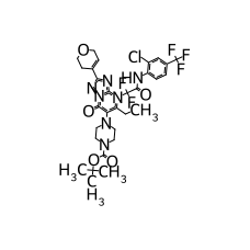 CCc1c(N2CCN(C(=O)OC(C)(C)C)CC2)c(=O)n2nc(C3=CCOCC3)nc2n1C(F)(F)C(=O)Nc1ccc(C(F)(F)F)cc1Cl